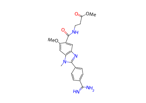 COC(=O)CCNC(=O)c1cc2nc(-c3ccc(C(=N)N)cc3)n(C)c2cc1OC